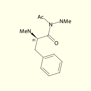 CN[C@H](Cc1ccccc1)C(=O)N(NC)C(C)=O